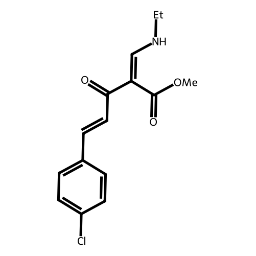 CCN/C=C(/C(=O)/C=C/c1ccc(Cl)cc1)C(=O)OC